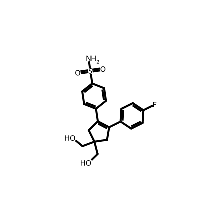 NS(=O)(=O)c1ccc(C2=C(c3ccc(F)cc3)CC(CO)(CO)C2)cc1